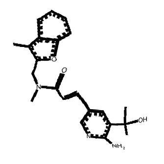 Cc1c(CN(C)C(=O)C=Cc2cnc(N)c(C(C)(C)O)c2)oc2ccccc12